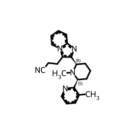 Cc1cccnc1[C@@H]1CCC[C@H](c2nc3ccccn3c2CCC#N)N1C